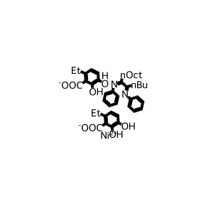 CCCCCCCCC(=Nc1ccccc1)C(CCCC)=Nc1ccccc1.CCc1ccc(O)c(O)c1C(=O)[O-].CCc1ccc(O)c(O)c1C(=O)[O-].[Ni+2]